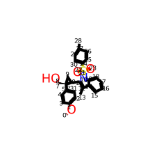 COc1ccc([C@]2(CO)CC2c2c(C)c3ccccc3n2S(=O)(=O)c2ccc(C)cc2)cc1